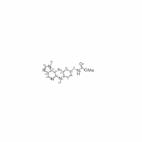 COC(=O)NCc1ccc(N(C)c2cc3c(cn2)ncn3C)c(F)c1